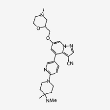 CNC1(C)CCN(c2ccc(-c3cc(OCC4CN(C)CCO4)cn4ncc(C#N)c34)cn2)CC1